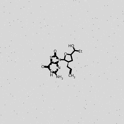 C=CC[C@@H]1CC(C(O)CC)OC1n1c(=O)sc2c(=O)[nH]c(N)nc21